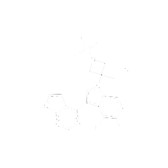 CCS(=O)(=O)N1CC(CC#N)(n2cc(-c3ncnc4[nH]ccc34)c3c(F)c(F)ccc32)C1